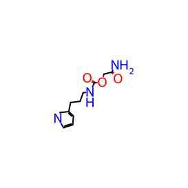 NC(=O)COC(=O)NCCCc1cccnc1